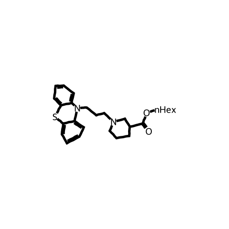 CCCCCCOC(=O)C1CCCN(CCCN2c3ccccc3Sc3ccccc32)C1